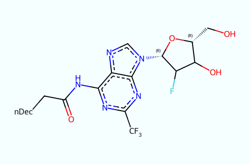 CCCCCCCCCCCC(=O)Nc1nc(C(F)(F)F)nc2c1ncn2[C@@H]1O[C@H](CO)C(O)C1F